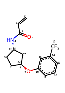 C=CC(=O)N[C@H]1CC[C@H](Oc2cccc(C(F)(F)F)c2)C1